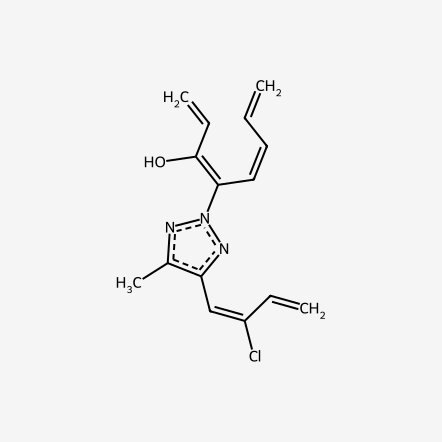 C=C/C=C\C(=C(\O)C=C)n1nc(C)c(/C=C(/Cl)C=C)n1